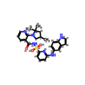 CC1CN(c2ncccc2C(=O)NS(=O)(=O)c2cccc(Nc3ccc4[nH]ccc4c3)n2)C(C)(C)C1